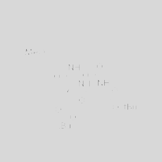 COc1cccc(NC(=O)[C@H](CCC(=O)OC(C)(C)C)NC(=O)[C@@H](CC(=O)OC(C)(C)C)NC(=O)OCc2ccccc2)c1